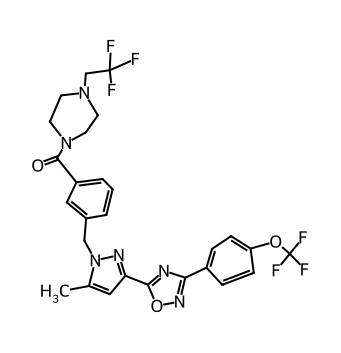 Cc1cc(-c2nc(-c3ccc(OC(F)(F)F)cc3)no2)nn1Cc1cccc(C(=O)N2CCN(CC(F)(F)F)CC2)c1